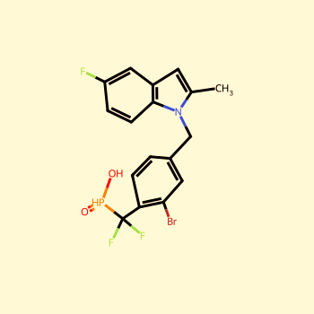 Cc1cc2cc(F)ccc2n1Cc1ccc(C(F)(F)[PH](=O)O)c(Br)c1